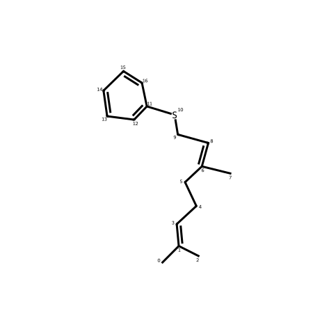 CC(C)=CCCC(C)=CCSc1ccccc1